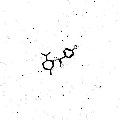 CC1CCC(C(C)C)C(OC(=O)c2ccc(Br)cc2)C1